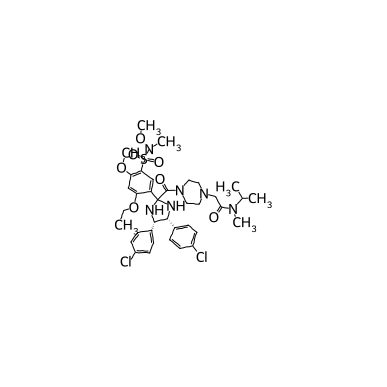 CCOc1cc(OC)c(S(=O)(=O)N(C)OC)cc1C1(C(=O)N2CCN(CC(=O)N(C)C(C)C)CC2)N[C@H](c2ccc(Cl)cc2)[C@H](c2ccc(Cl)cc2)N1